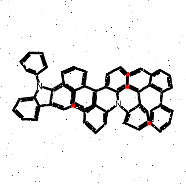 c1ccc(-c2cccc3cccc(-c4ccccc4N(c4cccc(-c5ccc6c(c5)c5ccccc5n6-c5ccccc5)c4)c4ccccc4-c4cccc5ccccc45)c23)cc1